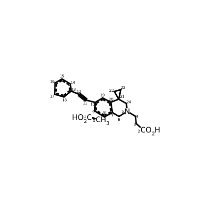 CC(=O)O.O=C(O)CCN1Cc2ccc(C#Cc3ccccc3)cc2C2(CC2)C1